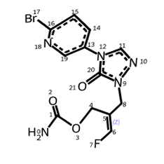 NC(=O)OC/C(=C\F)Cn1ncn(-c2ccc(Br)nc2)c1=O